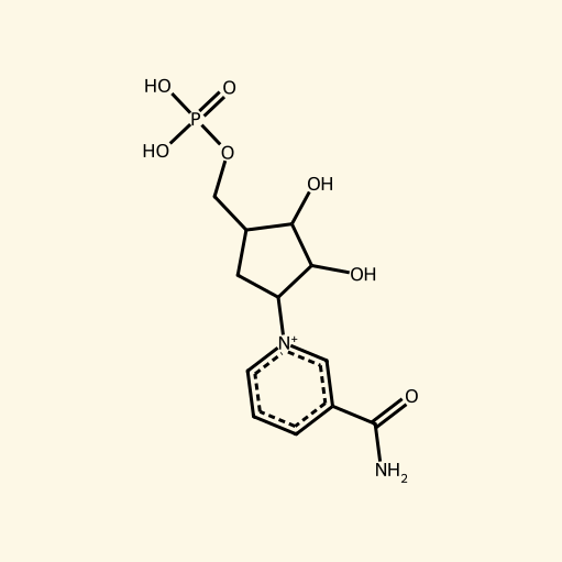 NC(=O)c1ccc[n+](C2CC(COP(=O)(O)O)C(O)C2O)c1